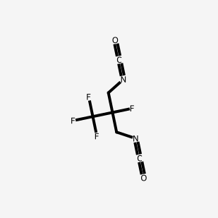 O=C=NCC(F)(CN=C=O)C(F)(F)F